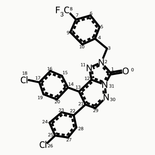 O=c1n(Cc2ccc(C(F)(F)F)cc2)nc2c(-c3ccc(Cl)cc3)c(-c3ccc(Cl)cc3)cnn12